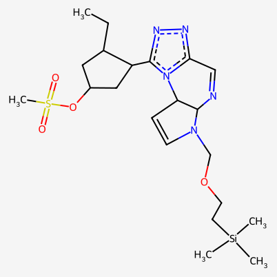 CCC1CC(OS(C)(=O)=O)CC1c1nnc2n1C1C=CN(COCC[Si](C)(C)C)C1N=C2